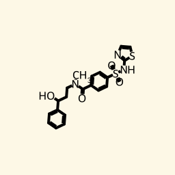 CN(CCC(O)c1ccccc1)C(=O)c1ccc(S(=O)(=O)Nc2nccs2)cc1